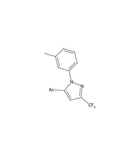 CC(=O)c1cc(C(F)(F)F)nn1-c1cccc(C)c1